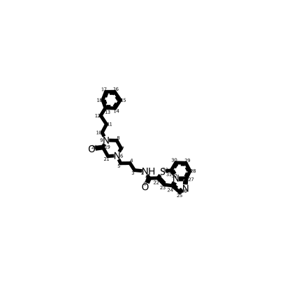 O=C(NCCCN1CCN(CCCc2ccccc2)C(=O)C1)C1=Cc2cnc3cccc(n23)S1